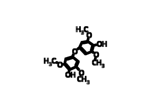 COc1cc(Oc2cc(OC)c(O)c(OC)c2)cc(OC)c1O